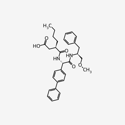 CCCC[C@H](CC(=O)O)C(=O)N[C@H](C(=O)N[C@H](COC)Cc1ccccc1)c1ccc(-c2ccccc2)cc1